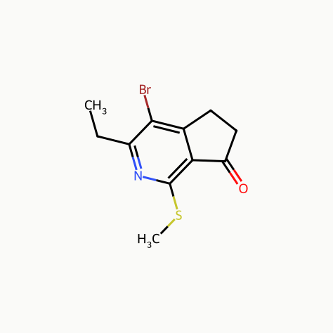 CCc1nc(SC)c2c(c1Br)CCC2=O